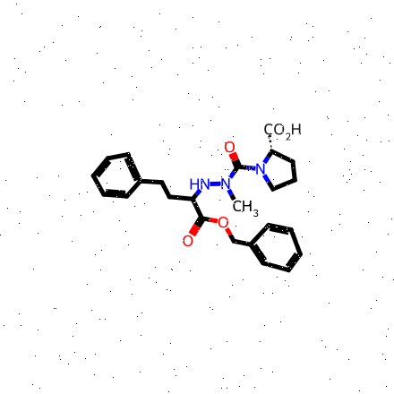 CN(NC(CCc1ccccc1)C(=O)OCc1ccccc1)C(=O)N1CCC[C@H]1C(=O)O